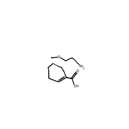 COCCN.O=C(O)C1=CCCCC1